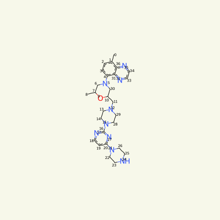 Cc1ccc(N2CC(C)OC(CN3CCN(c4nccc(N5CCNCC5)n4)CC3)C2)c2nccnc12